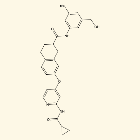 CC(C)(C)c1cc(CO)cc(NC(=O)C2CCc3ccc(Oc4ccnc(NC(=O)C5CC5)c4)cc3C2)c1